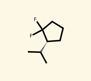 CC(C)[C@H]1CCCC1(F)F